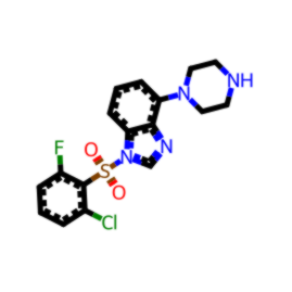 O=S(=O)(c1c(F)cccc1Cl)n1cnc2c(N3CCNCC3)cccc21